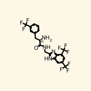 N[C@H](Cc1cccc(C(F)(F)F)c1)C(=O)NCc1nc2c(C(F)(F)F)cc(C(F)(F)F)cc2[nH]1